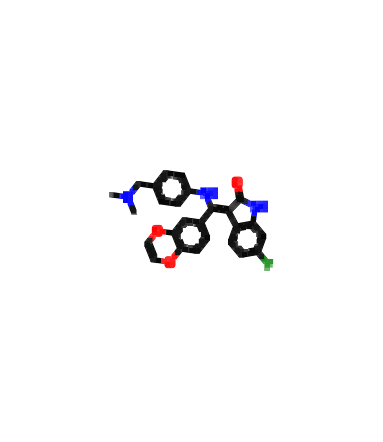 CN(C)Cc1ccc(N/C(=C2\C(=O)Nc3cc(F)ccc32)c2ccc3c(c2)OC=CO3)cc1